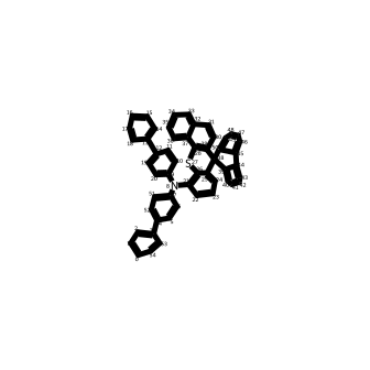 c1ccc(-c2ccc(N(c3ccc(-c4ccccc4)cc3)c3cccc4c3Sc3c(ccc5ccccc35)C43c4ccccc4-c4ccccc43)cc2)cc1